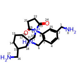 NCc1ccc(CN)c([N+]2(CC3CCCC(CN)C3)C(=O)CCC2=O)c1